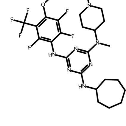 COc1c(F)c(F)c(Nc2nc(NC3CCCCCC3)nc(N(C)C3CCN(C)CC3)n2)c(F)c1C(F)(F)F